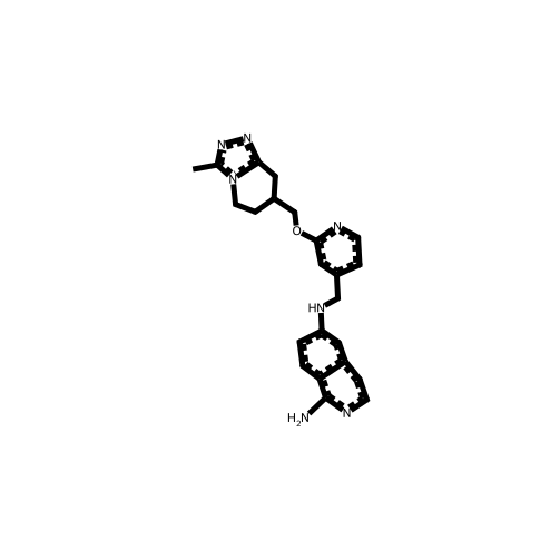 Cc1nnc2n1CCC(COc1cc(CNc3ccc4c(N)nccc4c3)ccn1)C2